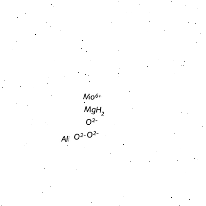 [Al].[MgH2].[Mo+6].[O-2].[O-2].[O-2]